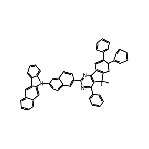 CC1(C)C2=C(C=C(c3ccccc3)C(c3ccccc3)C2)c2nc(-c3ccc4cc(-n5c6ccccc6c6cc7ccccc7cc65)ccc4c3)nc(-c3ccccc3)c21